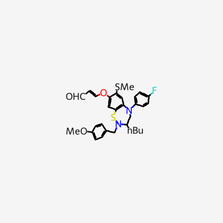 CCCCC1CN(c2ccc(F)cc2)c2cc(SC)c(O/C=C/C=O)cc2SN1Cc1ccc(OC)cc1